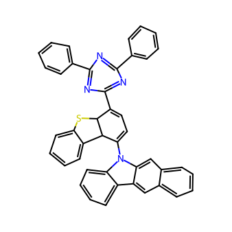 C1=C(c2nc(-c3ccccc3)nc(-c3ccccc3)n2)C2Sc3ccccc3C2C(n2c3ccccc3c3cc4ccccc4cc32)=C1